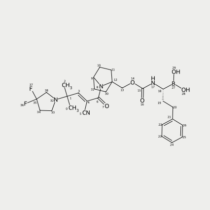 CC(C)(C=C(C#N)C(=O)N1C2CCC1(COC(=O)N[C@@H](CCc1ccccc1)B(O)O)CC2)N1CCC(F)(F)C1